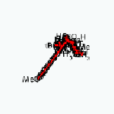 CC[C@H](C)[C@@H]([C@@H](CC(=O)N1CCC[C@H]1[C@H](OC)[C@@H](C)C(=O)N[C@H](C)[C@@H](O)c1ccccc1)OC)N(C)C(=O)[C@@H](NC(=O)[C@H](C(C)C)N(C)C(=O)OCc1ccc(O[C@@H]2OC(C(=O)O)=C[C@H](O)[C@H]2O)c(NC(=O)CCNC(=O)[C@H](CCCCNC(=O)CCOCCOCCOCCOCCOCCOCCOCCOCCOCCOCCOCCOC)NC(=O)[C@@H](CNC(=O)OC(C)(C)C)N2C(=O)C=CC2=O)c1)C(C)C